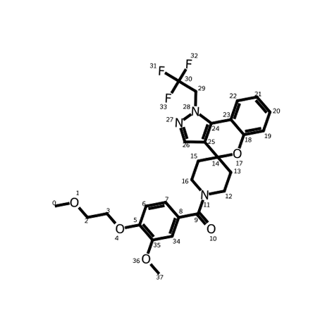 COCCOc1ccc(C(=O)N2CCC3(CC2)Oc2ccccc2-c2c3cnn2CC(F)(F)F)cc1OC